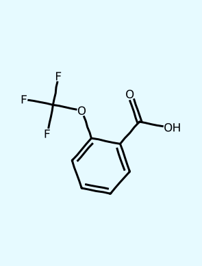 O=C(O)c1ccccc1OC(F)(F)F